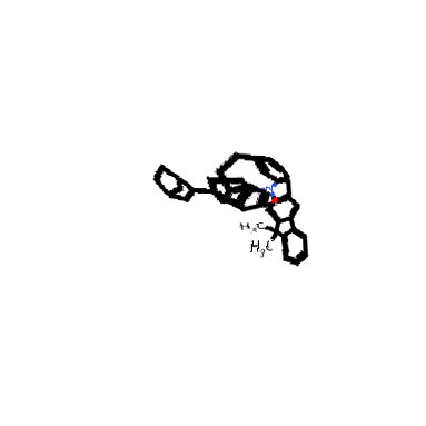 CC1(C)c2ccccc2-c2ccc(N(c3ccc(C4CC5CCC4C5)cc3)c3cc4ccc3CCc3ccc(cc3)CC4)cc21